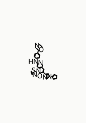 CN1CCOC(c2ccc(Nc3cc4c(cn3)cc(-c3cn(C5=CCC=C5)cn3)c(=O)n4-c3nccs3)cc2)C1